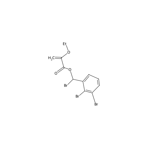 C=C(OCC)C(=O)OC(Br)c1cccc(Br)c1Br